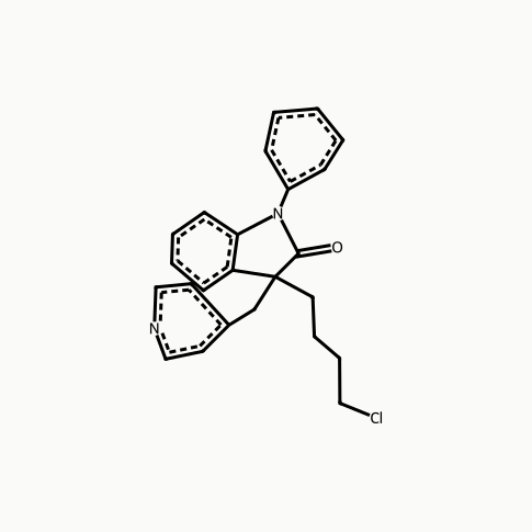 O=C1N(c2ccccc2)c2ccccc2C1(CCCCCl)Cc1ccncc1